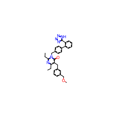 CCc1nc(CC)n(Cc2ccc(-c3ccccc3-c3nnn[nH]3)cc2)c(=O)c1Cc1cccc(COC)c1